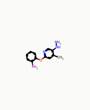 Cc1cc(Oc2ccccc2P)ncc1NN